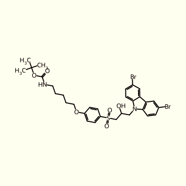 CC(C)(C)OC(=O)NCCCCCOc1ccc(S(=O)(=O)CC(O)Cn2c3ccc(Br)cc3c3cc(Br)ccc32)cc1